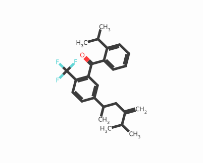 C=C(CC(C)c1ccc(C(F)(F)F)c(C(=O)c2ccccc2C(C)C)c1)C(C)C